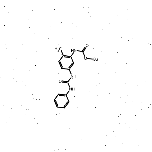 CCC(C)OC(=O)Nc1cc(NC(=O)Nc2ccccc2)ccc1C